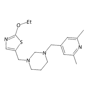 CCOc1ncc(CN2CCCN(Cc3cc(C)nc(C)c3)C2)s1